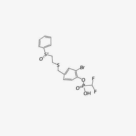 O=P(O)(Oc1ccc(CSCC[S+]([O-])c2ccccc2)cc1Br)C(F)F